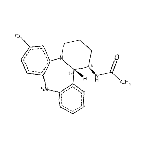 O=C(N[C@@H]1CCCN2c3cc(Cl)ccc3Nc3ccccc3[C@@H]12)C(F)(F)F